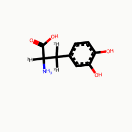 [2H]C(N)(C(=O)O)C([2H])([2H])c1ccc(O)c(O)c1